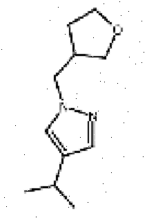 CC(C)c1cnn(CC2CCOC2)c1